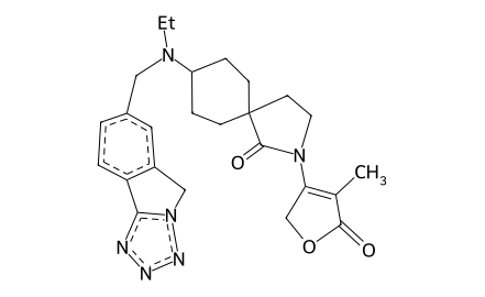 CCN(Cc1ccc2c(c1)Cn1nnnc1-2)C1CCC2(CC1)CCN(C1=C(C)C(=O)OC1)C2=O